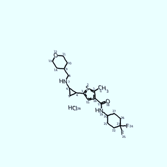 Cc1sc(C2CC2NCC2CCOCC2)cc1C(=O)NC1CCC(F)(F)CC1.Cl